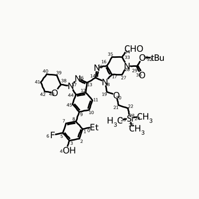 CCc1cc(O)c(F)cc1-c1ccc2c(-c3nc4c(n3COCC[Si](C)(C)C)CN(C(=O)OC(C)(C)C)C(C=O)C4)nn(C3CCCCO3)c2c1